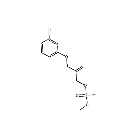 COP(C)(=O)OCC(=O)COc1cccc(Cl)c1